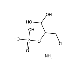 N.O=P(O)(O)OC(CCl)C(O)O